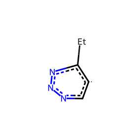 CCc1[c]cnnn1